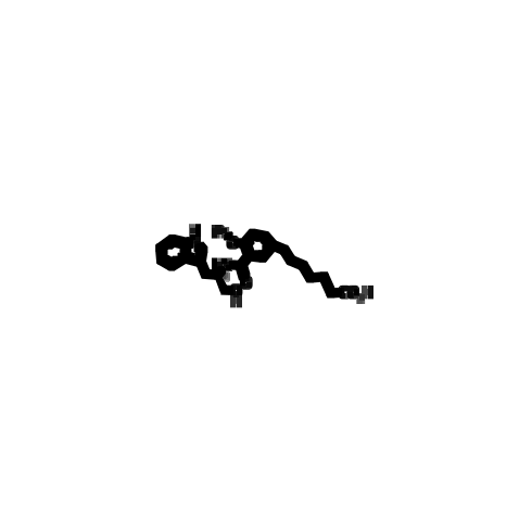 CC(C)Oc1ccc(CCCCCCC(=O)O)cc1C(=O)N[C@@H](CO)Cc1c[nH]c2ccccc12